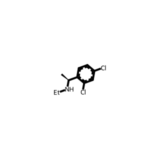 CCN[C@@H](C)c1ccc(Cl)cc1Cl